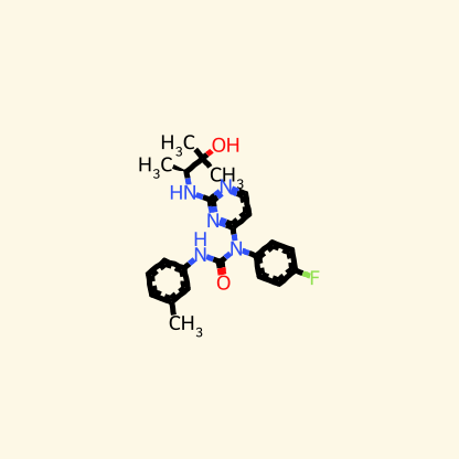 Cc1cccc(NC(=O)N(c2ccc(F)cc2)c2ccnc(N[C@@H](C)C(C)(C)O)n2)c1